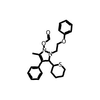 CC1=C(c2ccccc2)C(C2CCCCS2)N(CCOc2ccccc2)N1OC=O